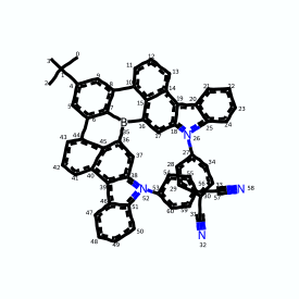 CC(C)(C)c1cc2c3c(c1)-c1cccc4c1c(cc1c4c4ccccc4n1-c1ccc(C#N)cc1)B3c1cc3c(c4cccc-2c14)c1ccccc1n3-c1ccc(C#N)cc1